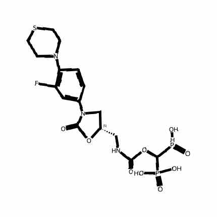 O=C(NC[C@H]1CN(c2ccc(N3CCSCC3)c(F)c2)C(=O)O1)OC([PH](=O)O)P(=O)(O)O